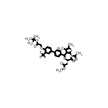 COC(=O)C[C@@H]1N=C(c2ccc(-c3ccc(OCC(=O)OC(C)(C)C)c(C(F)(F)F)c3)cc2)c2c(sc(C)c2C)-n2c(C)nnc21